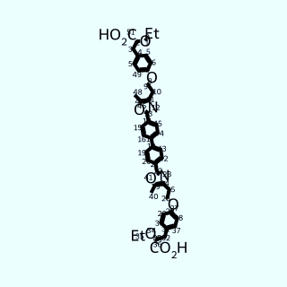 CCOC(Cc1ccc(OCCc2nc(-c3ccc(-c4ccc(-c5nc(CCOc6ccc(C[C@H](OCC)C(=O)O)cc6)c(C)o5)cc4)cc3)oc2C)cc1)C(=O)O